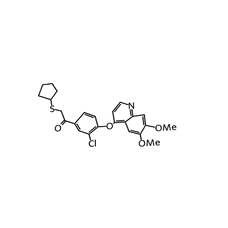 COc1cc2nccc(Oc3ccc(C(=O)CSC4CCCC4)cc3Cl)c2cc1OC